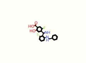 N=C(c1cc(O)c(C(=O)O)cc1F)c1c(F)cccc1NCc1ccccc1